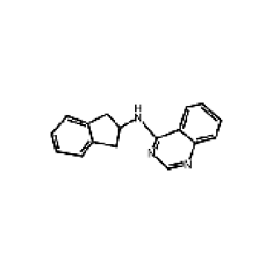 c1ccc2c(c1)CC(Nc1ncnc3ccccc13)C2